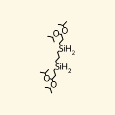 CC(C)OC(CC[SiH2]CCC[SiH2]CCC(OC(C)C)OC(C)C)OC(C)C